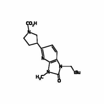 Cn1c(=O)n(CC(C)(C)C)c2ccc(C3CCN(C(=O)O)C3)nc21